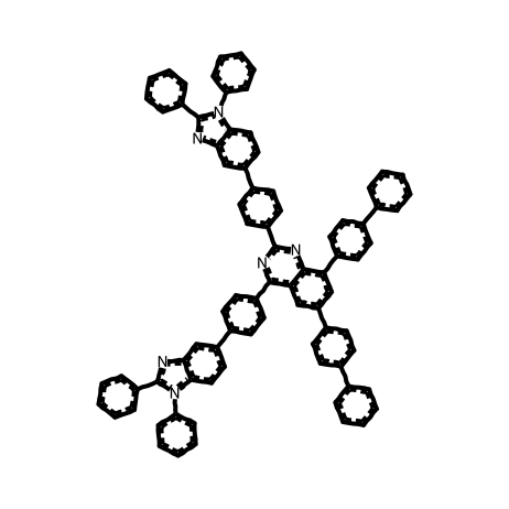 c1ccc(-c2ccc(-c3cc(-c4ccc(-c5ccccc5)cc4)c4nc(-c5ccc(-c6ccc7c(c6)nc(-c6ccccc6)n7-c6ccccc6)cc5)nc(-c5ccc(-c6ccc7c(c6)nc(-c6ccccc6)n7-c6ccccc6)cc5)c4c3)cc2)cc1